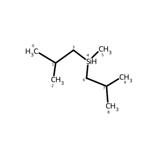 CC(C)C[SiH](C)CC(C)C